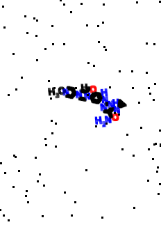 CN1CCC(N2CCN3c4ccc(Nc5ncc(C(N)=O)c(NC6CC6)n5)cc4OC[C@H]3C2)CC1